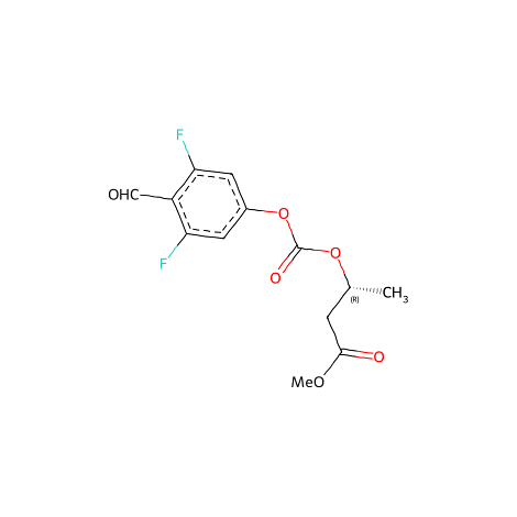 COC(=O)C[C@@H](C)OC(=O)Oc1cc(F)c(C=O)c(F)c1